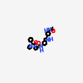 CC(=O)Nc1ccc(-c2cc3cc(NC(=O)[C@@H]4CCCN4C(=O)C(c4ccccc4)N4CCCC4)ccc3[nH]2)cc1